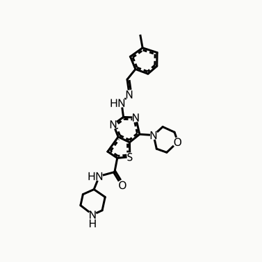 Cc1cccc(/C=N/Nc2nc(N3CCOCC3)c3sc(C(=O)NC4CCNCC4)cc3n2)c1